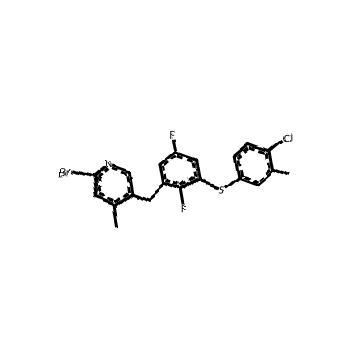 Cc1cc(Sc2cc(F)cc(Cc3cnc(Br)cc3C)c2F)ccc1Cl